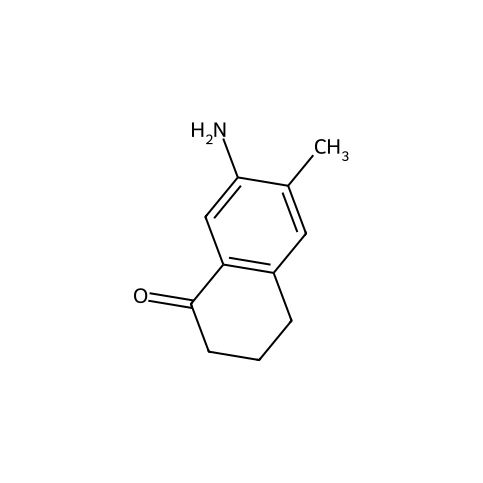 Cc1cc2c(cc1N)C(=O)CCC2